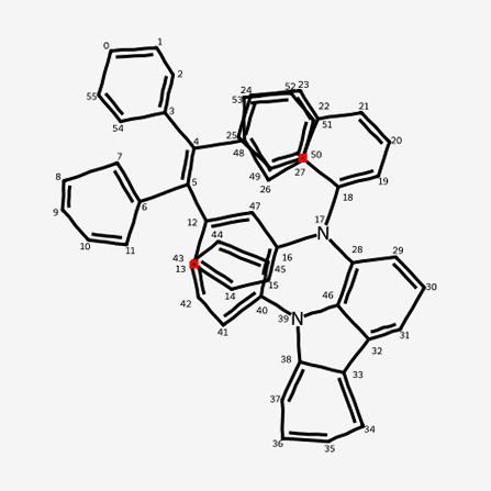 c1ccc(C(=C(c2ccccc2)c2cccc(N(c3cccc4ccccc34)c3cccc4c5ccccc5n(-c5ccccc5)c34)c2)c2ccccc2)cc1